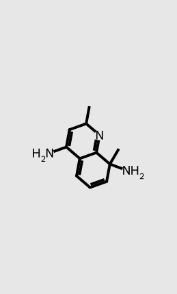 CC1C=C(N)C2=CC=CC(C)(N)C2=N1